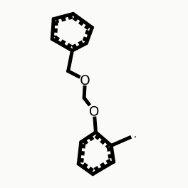 [CH2]c1ccccc1OCOCc1ccccc1